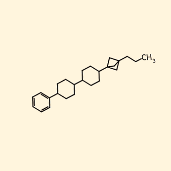 CCCC12CC(C3CCC(C4CCC(c5ccccc5)CC4)CC3)(C1)C2